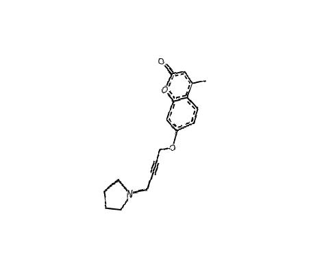 Cc1cc(=O)oc2cc(OCC#CCN3CCCC3)ccc12